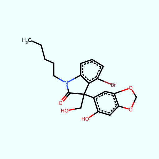 CCCCCN1C(=O)C(CO)(c2cc3c(cc2O)OCO3)c2c(Br)cccc21